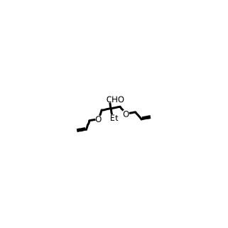 C=CCOCC(C=O)(CC)COCC=C